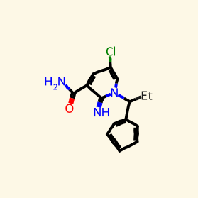 CCC(c1ccccc1)n1cc(Cl)cc(C(N)=O)c1=N